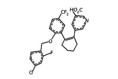 O=C(O)c1cncc(C2=C(c3cc(C(F)(F)F)ccc3OCc3ccc(Cl)cc3F)CCCC2)c1